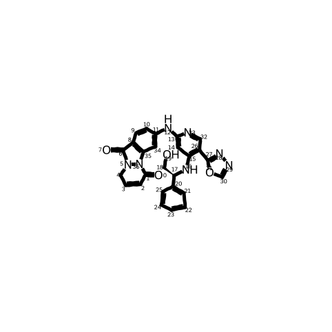 O=C1C=CCn2c(=O)c3ccc(Nc4cc(N[C@H](CO)c5ccccc5)c(-c5nnco5)cn4)cc3n21